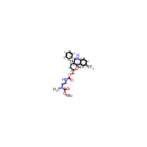 CN(CCNC(=O)OC[C@H]1CC[C@@H]2[C@H](O1)c1cc(C(F)(F)F)ccc1N[C@H]2C1C=CC=CC1)C(=O)OC(C)(C)C